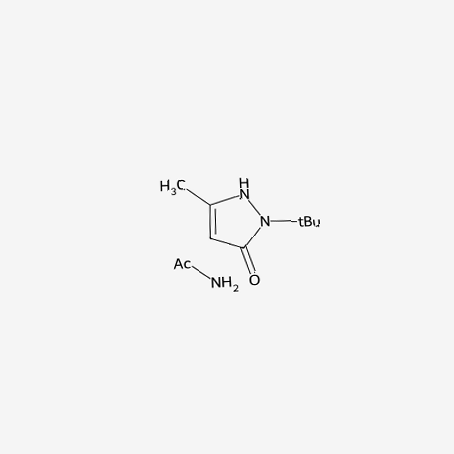 CC(N)=O.Cc1cc(=O)n(C(C)(C)C)[nH]1